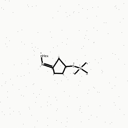 CCCCCCN=C1CCC(S[Si](C)(C)C)C1